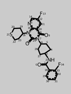 O=C(NC1CCC(n2c(=O)c3cc(F)cnc3n(C3CCSCC3)c2=O)CC1)c1ccccc1F